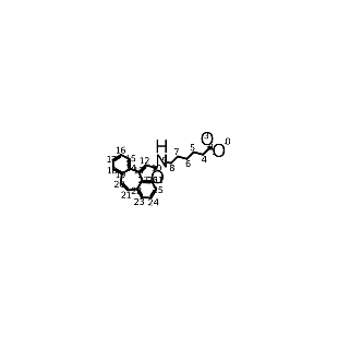 COC(=O)CCCCCNC(=O)C=C1c2ccccc2C=Cc2ccccc21